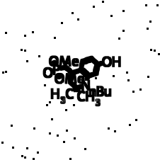 CCCCN1c2cc(O)ccc2C(CP(=O)(OC)OC)CC1(C)C